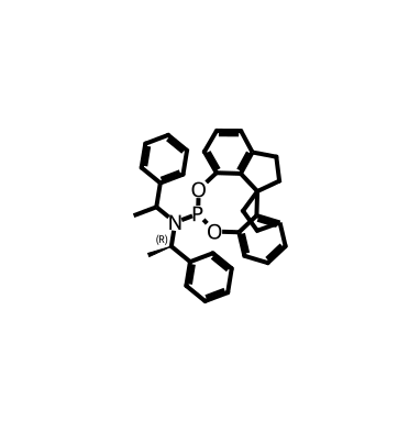 CC(c1ccccc1)N([C@H](C)c1ccccc1)P1Oc2cccc3c2C2(CC3)CCc3cccc(c32)O1